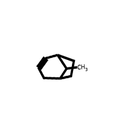 CC1C2C#CCC1CC2